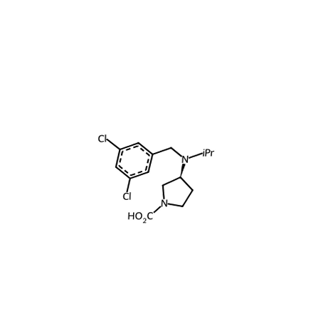 CC(C)N(Cc1cc(Cl)cc(Cl)c1)[C@H]1CCN(C(=O)O)C1